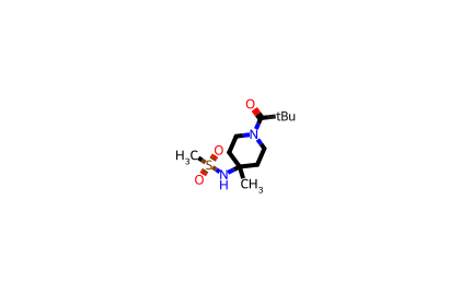 CC1(NS(C)(=O)=O)CCN(C(=O)C(C)(C)C)CC1